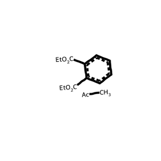 CC(C)=O.CCOC(=O)c1ccccc1C(=O)OCC